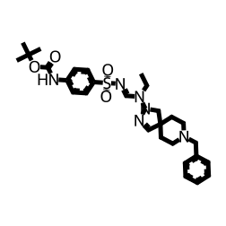 CCN(C=NS(=O)(=O)c1ccc(NC(=O)OC(C)(C)C)cc1)N1CC2(C=N1)CCN(Cc1ccccc1)CC2